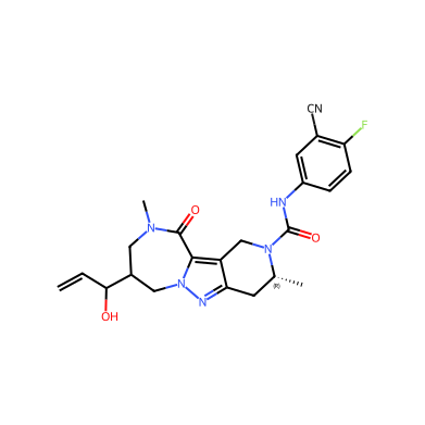 C=CC(O)C1CN(C)C(=O)c2c3c(nn2C1)C[C@@H](C)N(C(=O)Nc1ccc(F)c(C#N)c1)C3